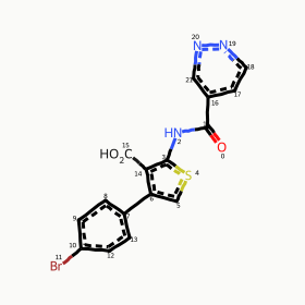 O=C(Nc1scc(-c2ccc(Br)cc2)c1C(=O)O)c1ccnnc1